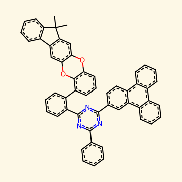 CC1(C)c2ccccc2-c2cc3c(cc21)Oc1cccc(-c2ccccc2-c2nc(-c4ccccc4)nc(-c4ccc5c6ccccc6c6ccccc6c5c4)n2)c1O3